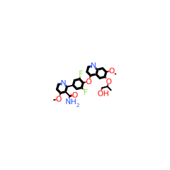 COc1cc2nccc(Oc3c(F)cc(-c4nccc(OC)c4C(N)=O)cc3F)c2cc1OC(C)CO